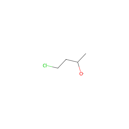 CC([O])CCCl